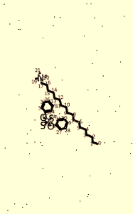 CCCCCCCCCCCCCCCCCC[N+](C)(C)C.S=P([S-])(Oc1ccccc1)Oc1ccccc1